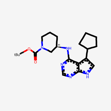 CC(C)(C)OC(=O)N1CCC[C@@H](Nc2ncnc3[nH]cc(C4CCCC4)c23)C1